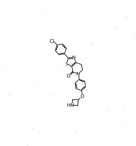 O=C1c2sc(-c3ccc(Cl)cc3)nc2CCN1c1ccc(OC2CNC2)cc1